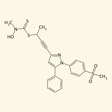 CC(C#Cc1cc(-c2ccccc2)n(-c2ccc(S(C)(=O)=O)cc2)n1)SC(=S)N(C)O